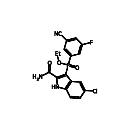 CCOP(=O)(c1cc(F)cc(C#N)c1)c1c(C(N)=O)[nH]c2ccc(Cl)cc12